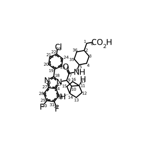 O=C(O)CC1CCC(NC(=O)C(C2[C@H]3CC[C@H]2CC3)n2c(-c3ccc(Cl)cc3)nc3cc(F)c(F)cc32)CC1